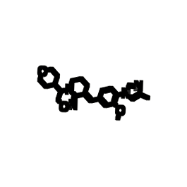 COc1cc(/C=C2\CCCN3C2=NOCC3C2CCOCC2)ccc1-n1cnc(C)c1